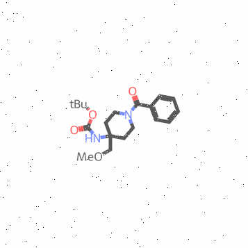 COCC1(NC(=O)OC(C)(C)C)CCN(C(=O)c2ccccc2)CC1